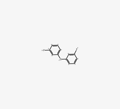 Fc1c[c]cc(Oc2cccc(F)c2)c1